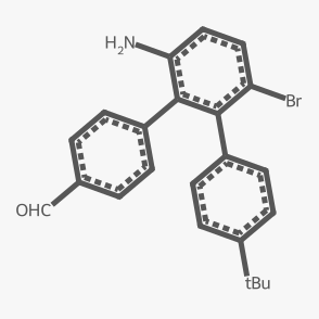 CC(C)(C)c1ccc(-c2c(Br)ccc(N)c2-c2ccc(C=O)cc2)cc1